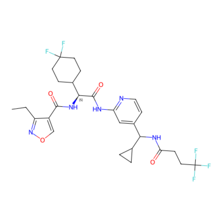 CCc1nocc1C(=O)N[C@H](C(=O)Nc1cc(C(NC(=O)CCC(F)(F)F)C2CC2)ccn1)C1CCC(F)(F)CC1